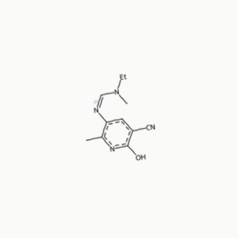 CCN(C)/C=N\c1cc(C#N)c(O)nc1C